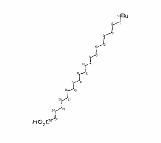 CCC(C)CCCCCCCCCCCCCCCCCCCCCC(=O)O